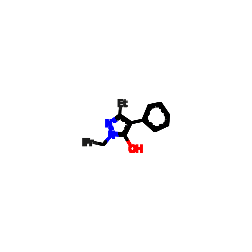 CCc1nn(CC(C)C)c(O)c1-c1ccccc1